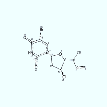 C=CC(Cl)[C@H]1O[C@@H](n2cc(Br)c(=O)[nH]c2=O)C[C@@H]1Cl